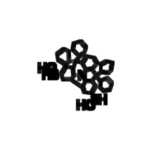 OBc1cc2c3c(c1)c1cc(BO)cc4c1n3-c1c(cccc1C4(c1ccccc1)c1ccccc1)C2(c1ccccc1)c1ccccc1